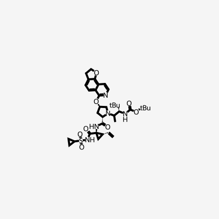 C=C[C@@H]1C[C@]1(NC(=O)[C@@H]1C[C@@H](Oc2nccc3c4c(ccc23)CCO4)CN1C(C)[C@@H](NC(=O)OC(C)(C)C)C(C)(C)C)C(=O)NS(=O)(=O)C1CC1